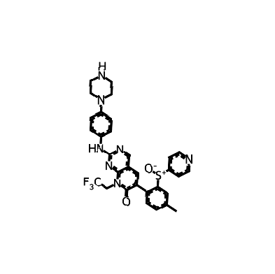 Cc1ccc(-c2cc3cnc(Nc4ccc(N5CCNCC5)cc4)nc3n(CC(F)(F)F)c2=O)c([S+]([O-])c2ccncc2)c1